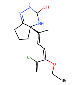 C=C(Cl)/C(=C\C=C(/C)[C@@]12CCCC1=NNC(O)N2)OCC(C)(C)C